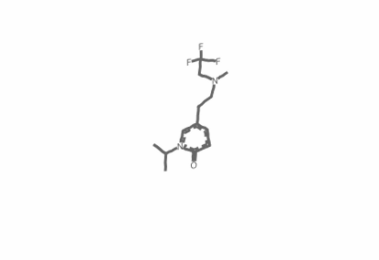 CC(C)n1cc(CCN(C)CC(F)(F)F)ccc1=O